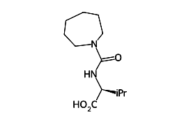 CC(C)[C@H](NC(=O)N1CCCCCC1)C(=O)O